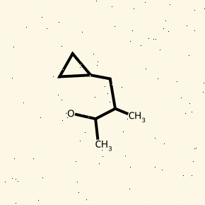 CC([O])C(C)CC1CC1